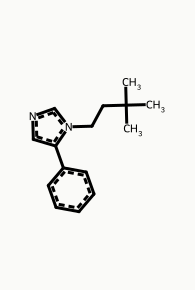 CC(C)(C)CCn1cncc1-c1ccccc1